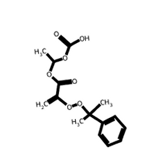 C=C(OOC(C)(C)c1ccccc1)C(=O)OC(C)OC(=O)O